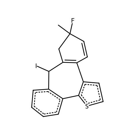 CC1(F)C=CC2=C(C1)C(I)c1ccccc1-c1sccc12